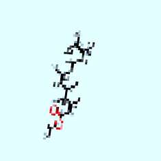 CCOC(=O)C=C(C)C(C)=C(C)CC(C)CCCC(C)=C(C)C